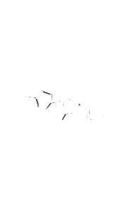 CC(=O)NCC1(C)CN(c2ccc(I)c(F)c2)C(=O)O1